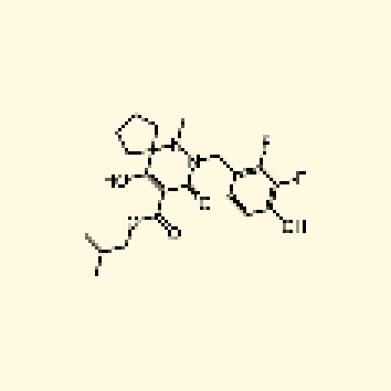 CC(C)COC(=O)C1=C(O)C2(CCCC2)N(C)N(Cc2ccc(O)c(F)c2F)C1=O